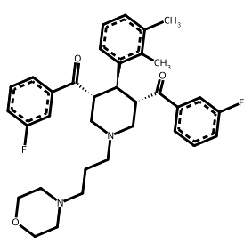 Cc1cccc([C@@H]2[C@@H](C(=O)c3cccc(F)c3)CN(CCCN3CCOCC3)C[C@H]2C(=O)c2cccc(F)c2)c1C